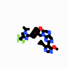 COc1ncnc(C2CC2)c1-c1ncc2ncc(=O)n(CC34C5C6C3C3C4C5C63c3nc(C(F)(F)F)cn3C(C)C)c2n1